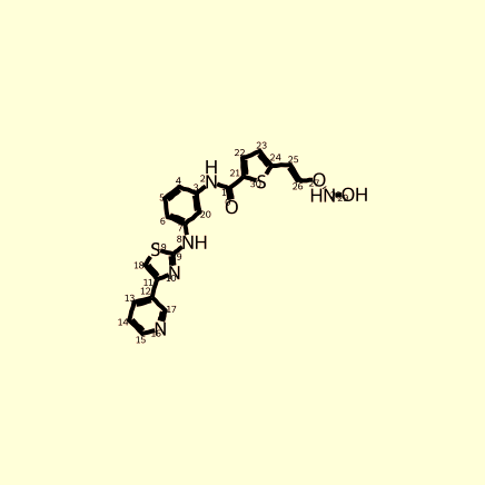 O=C(Nc1cccc(Nc2nc(-c3cccnc3)cs2)c1)c1ccc(C=CONO)s1